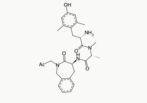 CC(=O)CN1Cc2ccccc2C[C@H](NC(=O)[C@@H](C)N(C)C(=O)[C@@H](N)Cc2c(C)cc(O)cc2C)C1=O